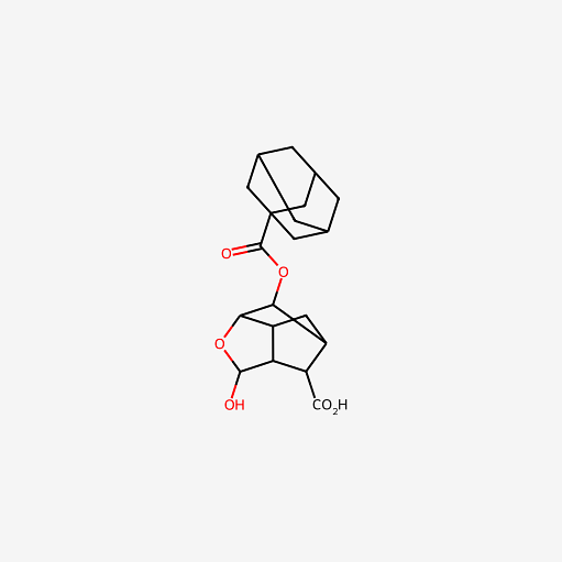 O=C(O)C1C2CC3C(OC(O)C31)C2OC(=O)C12CC3CC(CC(C3)C1)C2